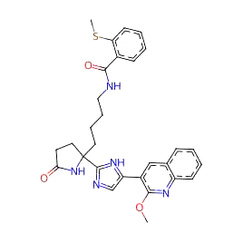 COc1nc2ccccc2cc1-c1cnc(C2(CCCCNC(=O)c3ccccc3SC)CCC(=O)N2)[nH]1